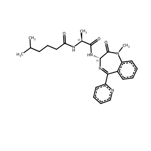 CC(C)CCCC(=O)N[C@@H](C)C(=O)N[C@H]1N=C(c2ccccn2)c2ccccc2N(C)C1=O